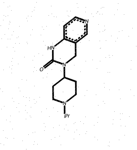 CC(C)N1CCC(N2Cc3cnccc3NC2=O)CC1